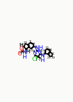 CC1(Cl)C=NC(Nc2ccc3c(c2)[C@@H]2NC(=O)O[C@@H]2C3)=NC1Nc1cccc2c1CCC2